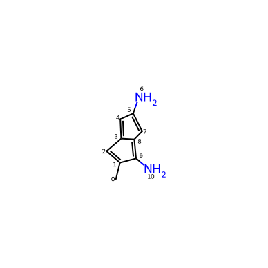 CC1=CC2=CC(N)=CC2=C1N